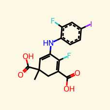 CC1(C(=O)O)C=C(Nc2ccc(I)cc2F)C(F)=C(C(=O)O)C1